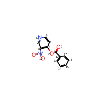 O=C(Oc1ccncc1[N+](=O)[O-])c1ccccc1